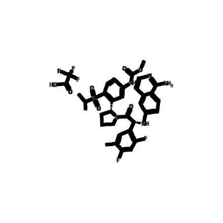 COC(=O)Nc1ccc(S(=O)(=O)C(C)C)c([C@H]2CCCN2C(=O)[C@H](Nc2ccc3c(N)nccc3c2)c2cc(C)c(F)cc2F)c1.O=C(O)C(F)(F)F